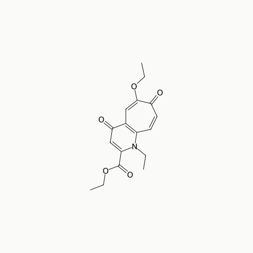 CCOC(=O)c1cc(=O)c2cc(OCC)c(=O)ccc2n1CC